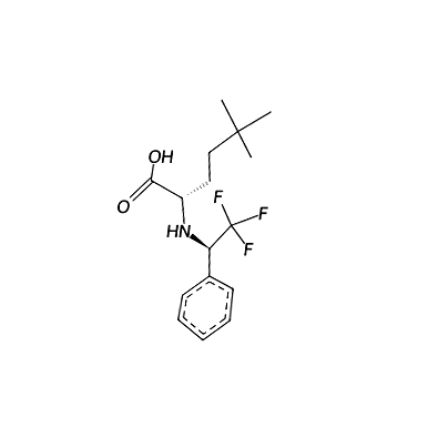 CC(C)(C)CC[C@H](N[C@H](c1ccccc1)C(F)(F)F)C(=O)O